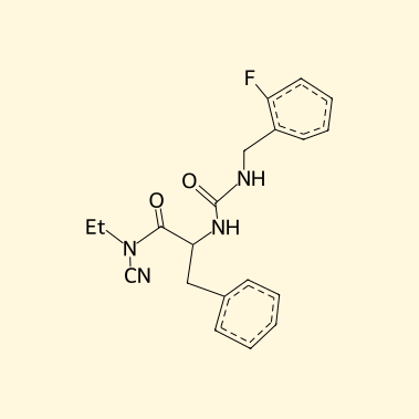 CCN(C#N)C(=O)C(Cc1ccccc1)NC(=O)NCc1ccccc1F